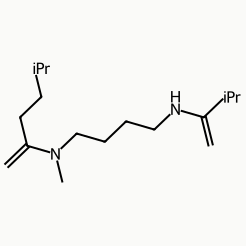 C=C(NCCCCN(C)C(=C)CCC(C)C)C(C)C